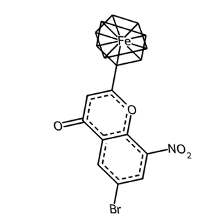 O=c1cc([C]23[CH]4[CH]5[CH]6[CH]2[Fe]56432789[CH]3[CH]2[CH]7[CH]8[CH]39)oc2c([N+](=O)[O-])cc(Br)cc12